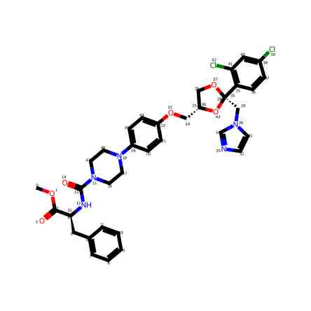 COC(=O)[C@H](Cc1ccccc1)NC(=O)N1CCN(c2ccc(OC[C@@H]3CO[C@@](Cn4ccnc4)(c4ccc(Cl)cc4Cl)O3)cc2)CC1